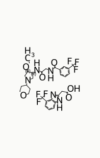 CCO[C@@H]1CN(C2CCOCC2)C[C@H]1NC(=O)CNC(=O)c1cccc(C(F)(F)F)c1.O=C(O)Cc1nc2c(C(F)(F)F)cccc2[nH]1